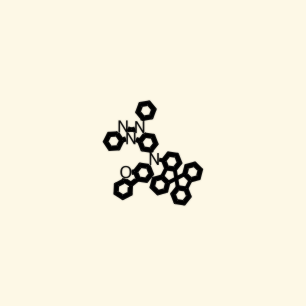 c1ccc(-n2c3ccc(N(c4ccc5c(c4)oc4ccccc45)c4cccc5c4-c4ccccc4C54c5ccccc5-c5ccccc54)cc3n3c4ccccc4nc23)cc1